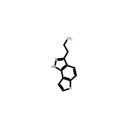 CCCc1n[nH]c2c1ccc1occc12